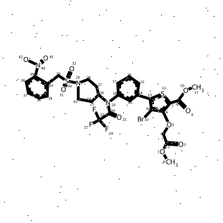 COC(=O)COc1c(C(=O)OC)sc(-c2cccc(N(C(=O)C(F)(F)F)C3CCN(S(=O)(=O)Cc4ccccc4[N+](=O)[O-])CC3)c2)c1Br